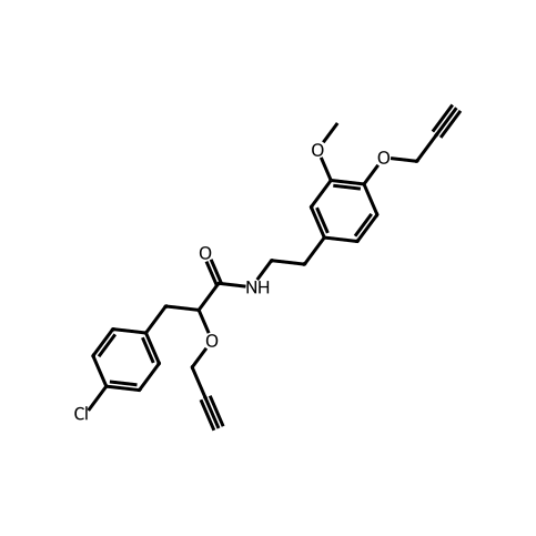 C#CCOc1ccc(CCNC(=O)C(Cc2ccc(Cl)cc2)OCC#C)cc1OC